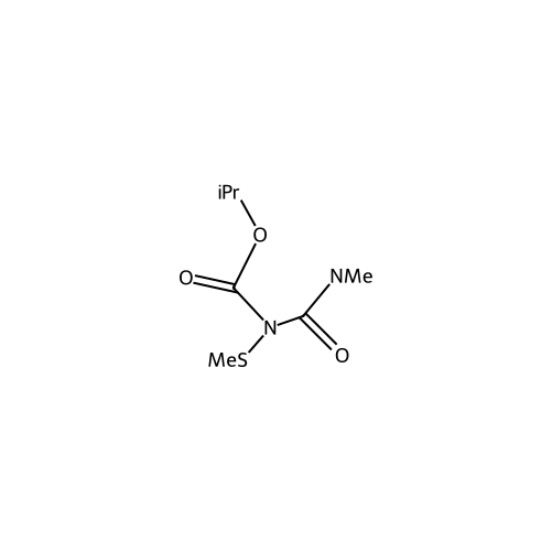 CNC(=O)N(SC)C(=O)OC(C)C